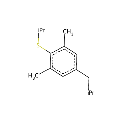 Cc1cc(CC(C)C)cc(C)c1SC(C)C